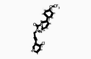 O=c1n(CC#Cc2cnccc2Cl)nc2ccc(-c3ccc(OC(F)(F)F)cc3)cn12